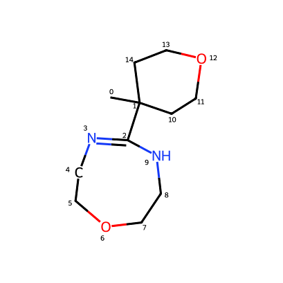 CC1(/C2=N/CCOCCN2)CCOCC1